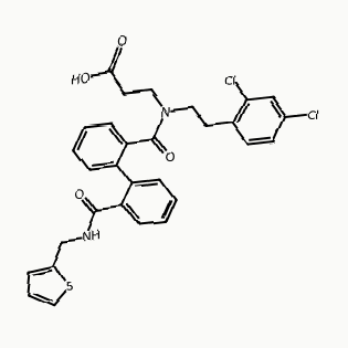 O=C(O)CCN(CCc1ccc(Cl)cc1Cl)C(=O)c1ccccc1-c1ccccc1C(=O)NCc1cccs1